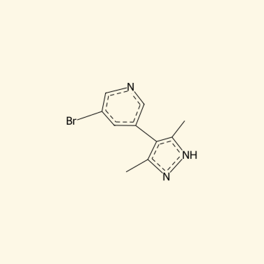 Cc1n[nH]c(C)c1-c1cncc(Br)c1